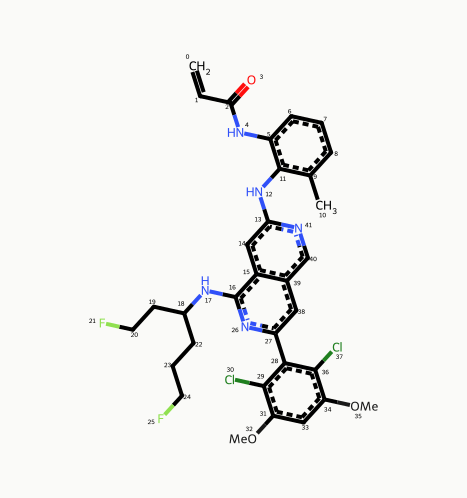 C=CC(=O)Nc1cccc(C)c1Nc1cc2c(NC(CCF)CCCF)nc(-c3c(Cl)c(OC)cc(OC)c3Cl)cc2cn1